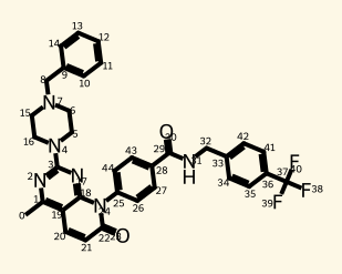 Cc1nc(N2CCN(Cc3ccccc3)CC2)nc2c1ccc(=O)n2-c1ccc(C(=O)NCc2ccc(C(F)(F)F)cc2)cc1